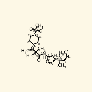 C/N=C\C(C)(C)c1cc(NC(=O)C(C)(C)N(C)C2CCN(S(C)(=O)=O)CC2)on1